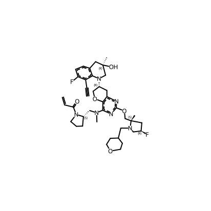 C#Cc1c(F)ccc2c1N([C@H]1COc3c(nc(OC[C@]4(C)C[C@@H](F)CN4CC4CCOCC4)nc3N(C)C[C@@H]3CCCN3C(=O)C=C)C1)C[C@](C)(O)C2